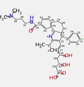 CC(C)c1nc2c(c(-c3ccc(F)cc3)c1/C=C/[C@@H](O)C[C@@H](O)CC(=O)O)CCCc1ccc(C(=O)NCCCN(C)C)cc1-2